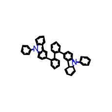 C1=CC2c3cc(-c4ccccc4-c4ccccc4-c4ccc5c(c4)c4ccccc4n5-c4ccccc4)ccc3N(c3ccccc3)C2C=C1